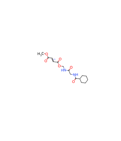 COC(=O)/C=C/C(=O)OCNC(=O)CNC(=O)C1CCCCC1